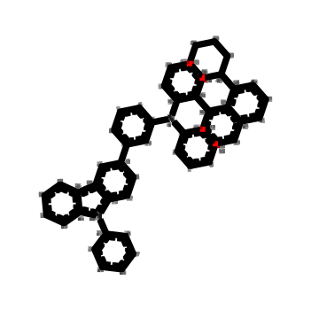 c1ccc(N(c2cccc(-c3ccc4c(c3)c3ccccc3n4-c3ccccc3)c2)c2ccccc2-c2cccc3cccc(C4CCCCC4)c23)cc1